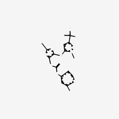 Cc1cc(NC(=O)Oc2nc(C)sc2Nc2cc(C(F)(F)F)nn2C)ccn1